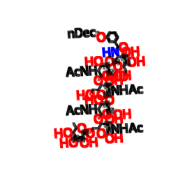 CCCCCCCCCCCOc1cccc(C(=O)NC2[C@H](O[C@H]3C(O)C(NC(C)=O)C(OC4C(CO)O[C@@H](O[C@H]5C(O)C(NC(C)=O)C(OC6C(CO[C@@H]7OC(C)C(O)[C@H](O)[C@H]7O)OC(O)[C@@H](NC(C)=O)[C@H]6O)O[C@H]5CO)[C@@H](NC(C)=O)[C@H]4O)O[C@H]3CO)OC(CO)[C@@H](O)[C@@H]2O)c1